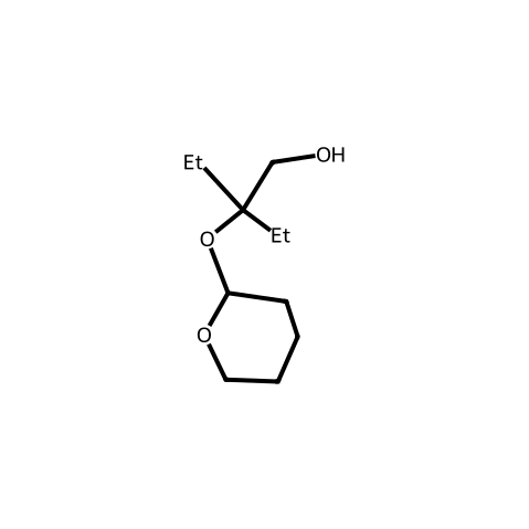 CCC(CC)(CO)OC1CCCCO1